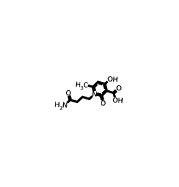 Cc1cc(O)c(C(=O)O)c(=O)n1CCCC(N)=O